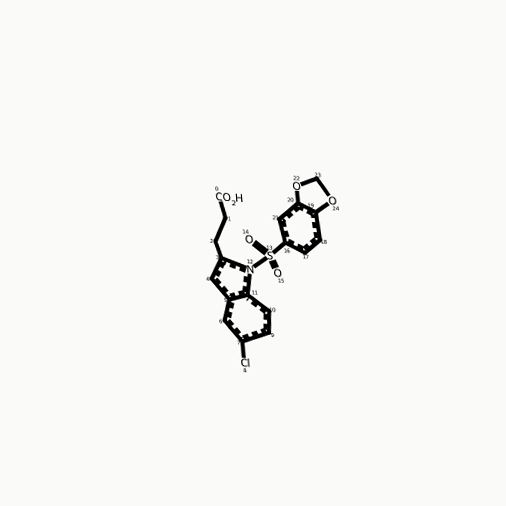 O=C(O)CCc1cc2cc(Cl)ccc2n1S(=O)(=O)c1ccc2c(c1)OCO2